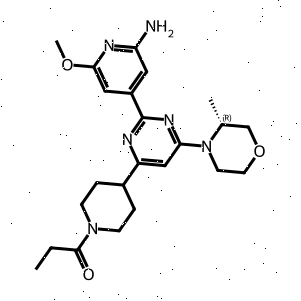 CCC(=O)N1CCC(c2cc(N3CCOC[C@H]3C)nc(-c3cc(N)nc(OC)c3)n2)CC1